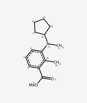 COC(=O)c1cccc(N(C)C2CCCC2)c1C